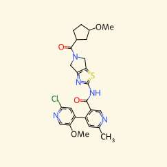 COc1cnc(Cl)cc1-c1cc(C)ncc1C(=O)Nc1nc2c(s1)CN(C(=O)C1CCC(OC)C1)C2